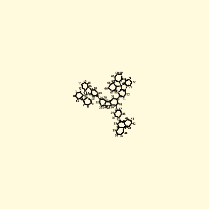 c1ccc(C2(c3ccccc3)c3ccccc3-c3ccc(-c4ccc5oc6c(-c7ccc(-c8cc9ccccc9c9ccccc89)cc7)cc(-c7ccc8c(c7)C(c7ccccc7)(c7ccccc7)c7ccccc7-8)cc6c5c4)cc32)cc1